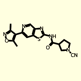 Cc1noc(C)c1-c1cc2sc(NC(=O)C3CCN(C#N)C3)nc2cn1